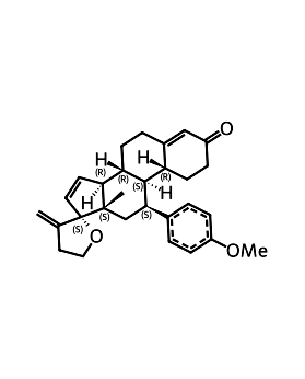 C=C1CCO[C@@]12C=C[C@H]1[C@@H]3CCC4=CC(=O)CC[C@@H]4[C@H]3[C@@H](c3ccc(OC)cc3)C[C@@]12C